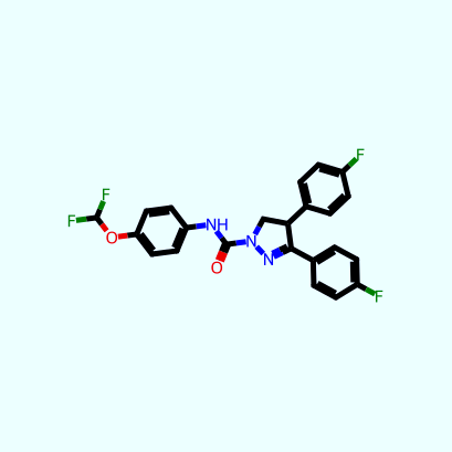 O=C(Nc1ccc(OC(F)F)cc1)N1CC(c2ccc(F)cc2)C(c2ccc(F)cc2)=N1